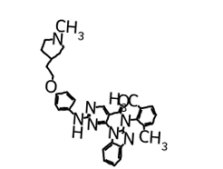 Cc1cccc(C)c1-n1c(=O)c2cnc(Nc3ccc(OCCC4CCN(C)CC4)cc3)nc2n2c3ccccc3nc12